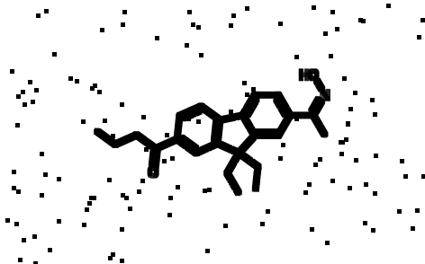 CCCC(=O)c1ccc2c(c1)C(CC)(CC)c1cc(/C(C)=N\O)ccc1-2